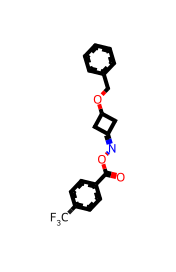 O=C(ON=C1CC(OCc2ccccc2)C1)c1ccc(C(F)(F)F)cc1